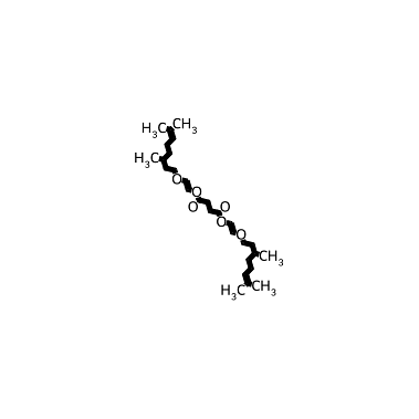 CC(C)=CCCC(C)CCO/C=C/OC(=O)CCC(=O)O/C=C/OCCC(C)CCC=C(C)C